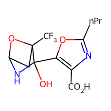 CCCc1nc(C(=O)O)c(C2(O)NC3CC2(C(F)(F)F)O3)o1